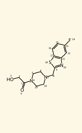 O=C(CO)N1CCN(Cc2nc3cc(F)ccc3s2)CC1